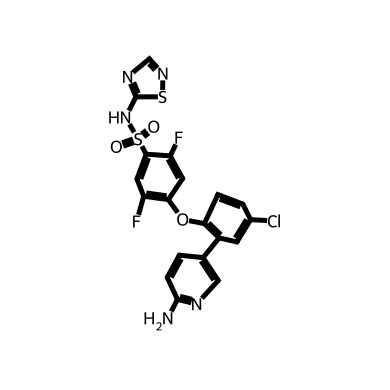 Nc1ccc(-c2cc(Cl)ccc2Oc2cc(F)c(S(=O)(=O)Nc3ncns3)cc2F)cn1